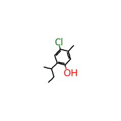 CCC(C)c1cc(Cl)c(C)cc1O